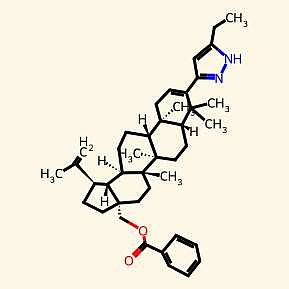 C=C(C)[C@@H]1CC[C@]2(COC(=O)c3ccccc3)CC[C@]3(C)[C@H](CC[C@@H]4[C@@]5(C)CC=C(c6cc(CC)[nH]n6)C(C)(C)[C@@H]5CC[C@]43C)[C@@H]12